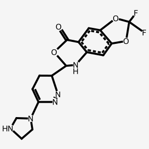 O=C1OC(C2CC=C(N3CCNC3)N=N2)Nc2cc3c(cc21)OC(F)(F)O3